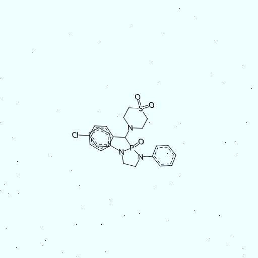 O=P1(C(c2ccc(Cl)cc2)N2CCS(=O)(=O)CC2)N(c2ccccc2)CCN1c1ccccc1